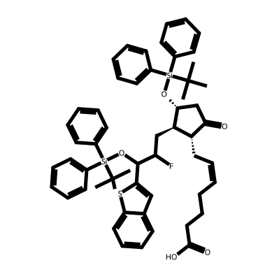 CC(C)(C)[Si](OC(c1cc2ccccc2s1)C(F)C[C@H]1[C@H](O[Si](c2ccccc2)(c2ccccc2)C(C)(C)C)CC(=O)[C@@H]1C/C=C\CCCC(=O)O)(c1ccccc1)c1ccccc1